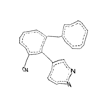 N#Cc1cccc(-c2ccccc2)c1-c1ccnnc1